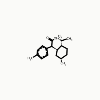 Cc1ccc(C(C(=O)O)[C@@H]2C[C@H](C)CC[C@H]2C(C)C)cc1